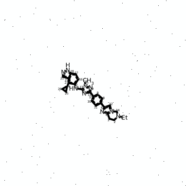 CCN1CCc2nc(-c3ccc(-c4nc(Nc5ccc6[nH]ncc6c5C5CC5)n(C)n4)cc3)cn2C1